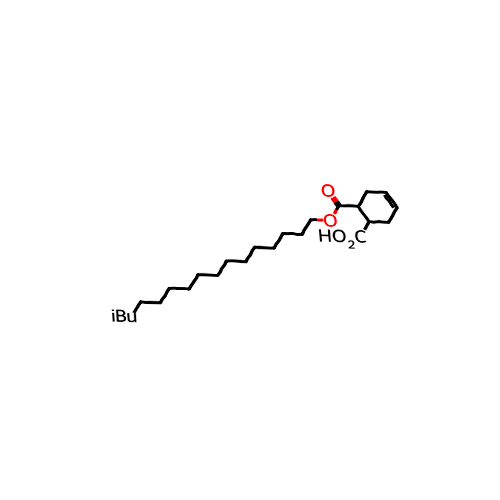 CCC(C)CCCCCCCCCCCCCOC(=O)C1CC=CCC1C(=O)O